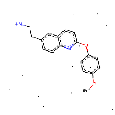 CC(C)Oc1ccc(Oc2ccc3cc(CC[NH])ccc3n2)cc1